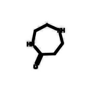 O=C1CCN[CH]CN1